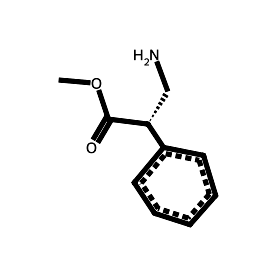 COC(=O)[C@H](CN)c1ccccc1